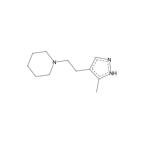 Cc1[nH]n[c]c1CCN1CCCCC1